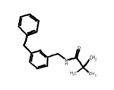 CC(C)(C)C(=O)NCc1cccc(Cc2ccccc2)c1